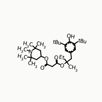 CCC(C)(Cc1cc(C(C)(C)C)c(O)c(C(C)(C)C)c1)OC(=O)CC(=O)OC1CC(C)(C)N(C)C(C)(C)C1